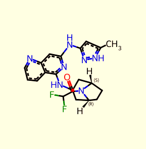 Cc1cc(Nc2cc3ncccc3c(NC3C[C@H]4CC[C@@H](C3)N4C(=O)C(F)F)n2)n[nH]1